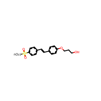 CCCCCCCCS(=O)(=O)c1ccc(/C=C/c2ccc(OCCCO)cc2)cc1